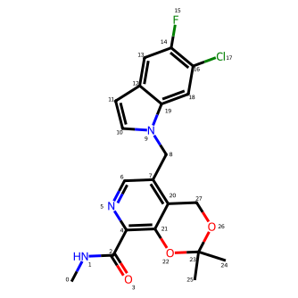 CNC(=O)c1ncc(Cn2ccc3cc(F)c(Cl)cc32)c2c1OC(C)(C)OC2